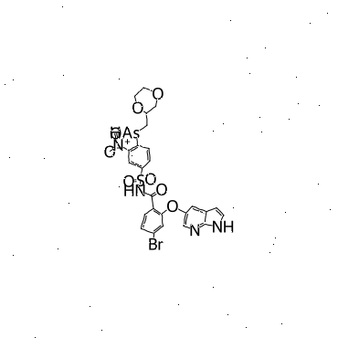 O=C(NS(=O)(=O)c1ccc([AsH]CC2COCCO2)c([N+](=O)[O-])c1)c1ccc(Br)cc1Oc1cnc2[nH]ccc2c1